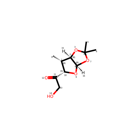 C[C@@H]1[C@H]2OC(C)(C)O[C@H]2O[C@@H]1C(=O)CO